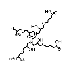 CCCCC(CC)COCC(O)CN(CCN(CC(O)COCCCS(=O)O)CC(O)COCC(CC)CCCC)CC(O)COCCCS(=O)O